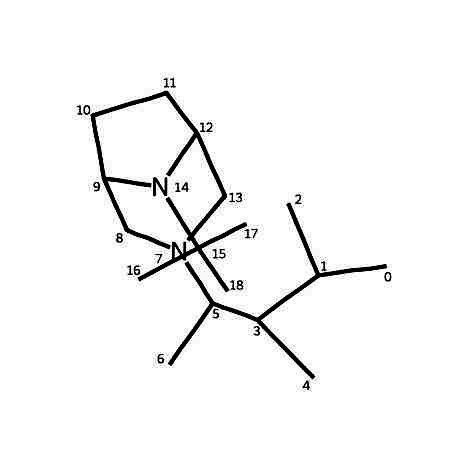 CC(C)C(C)C(C)N1CC2CCC(C1)N2C(C)(C)C